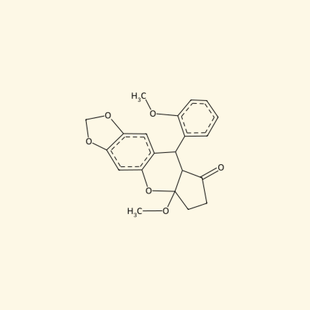 COc1ccccc1C1c2cc3c(cc2OC2(OC)CCC(=O)C12)OCO3